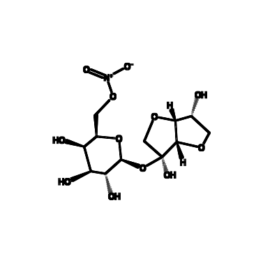 O=[N+]([O-])OC[C@H]1O[C@@H](O[C@@]2(O)CO[C@@H]3[C@H](O)CO[C@@H]32)[C@H](O)[C@@H](O)[C@H]1O